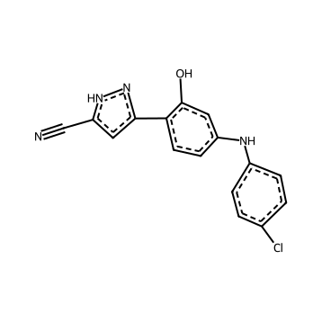 N#Cc1cc(-c2ccc(Nc3ccc(Cl)cc3)cc2O)n[nH]1